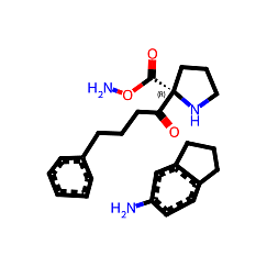 NOC(=O)[C@]1(C(=O)CCCc2ccccc2)CCCN1.Nc1ccc2c(c1)CCC2